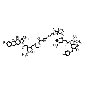 C[C@@H]1CN(CC(=O)N2CC(C)(C)c3[nH]c(=O)c(Cc4ccc(F)cc4)cc32)[C@@H](CN2CCO[C@H](C(=O)NCCOCCNC(=O)[C@@H]3CN(C[C@H]4CN[C@H](C)CN4CC(=O)N4CC(C)(C)c5[nH]c(=O)c(Cc6ccc(F)cc6)cc54)CCO3)C2)CN1